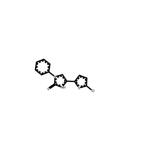 S=c1[nH]c(-c2ccc(Cl)s2)cn1-c1ccccc1